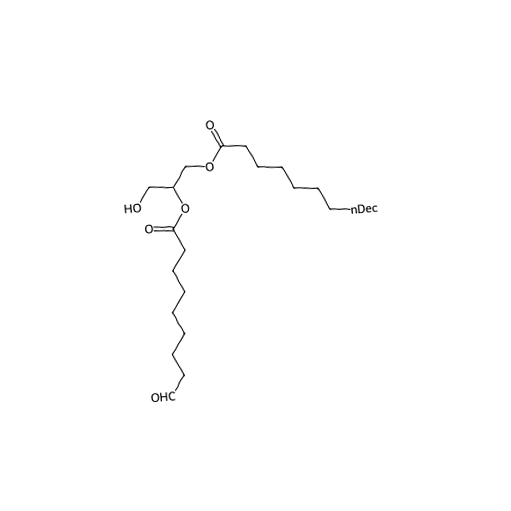 CCCCCCCCCCCCCCCCC(=O)OCC(CO)OC(=O)CCCCCCCC=O